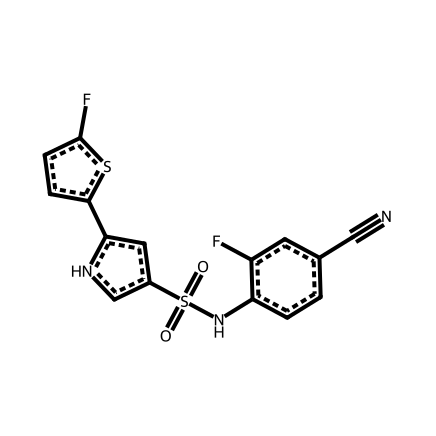 N#Cc1ccc(NS(=O)(=O)c2c[nH]c(-c3ccc(F)s3)c2)c(F)c1